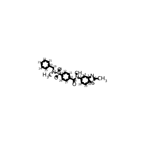 Cc1nc2cc(N(C)C(=O)c3ccc(S(=O)(=O)N(C)Cc4ccccc4)cc3)ccc2s1